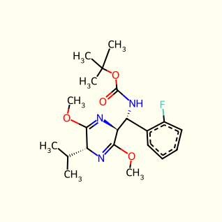 COC1=N[C@H](C(C)C)C(OC)=N[C@H]1[C@H](NC(=O)OC(C)(C)C)c1ccccc1F